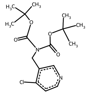 CC(C)(C)OC(=O)N(Cc1cnccc1Cl)C(=O)OC(C)(C)C